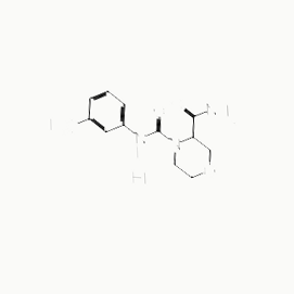 I.NC(=O)C1COCCN1C(=O)Nc1cccc(C(F)(F)F)c1